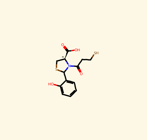 O=C(O)[C@@H]1CSC(c2ccccc2O)N1C(=O)CCS